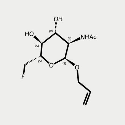 C=CCO[C@H]1O[C@H](CF)[C@@H](O)[C@H](O)[C@H]1NC(C)=O